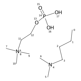 CCCCN(C)C.C[N+](C)(C)CCOP(=O)(O)O